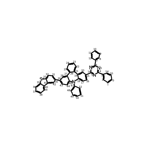 c1ccc(-c2nc(-c3ccccc3)nc(-c3ccc4c(c3)-c3ccccc3-c3cc(-c5ccc6sc7ccccc7c6c5)ccc3N4c3ccccc3)n2)cc1